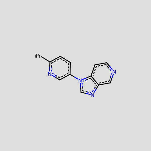 CC(C)c1ccc(-n2cnc3cnccc32)cn1